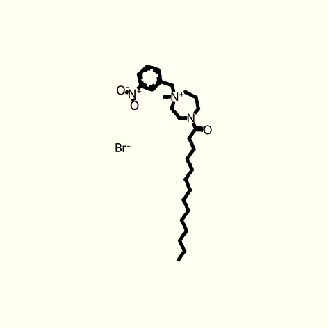 CCCCCCCCCCCCCC(=O)N1CCC[N+](C)(Cc2cccc([N+](=O)[O-])c2)CC1.[Br-]